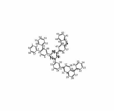 c1ccc(-c2ccc(-c3nc(-c4cccc(-c5ccc6c(-c7ccccc7)cccc6c5)c4)nc(-c4ccc5sc6ccccc6c5c4)n3)cc2-c2ccccc2)cc1